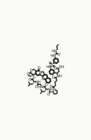 CCCNC(=O)Nc1cccc(S(=O)(=O)Nc2cccc(C(CC(=O)O)NC(=O)CCCC(=O)N3CCC[C@H]3C(=O)N[C@@H](CC(C)C)C(=O)NCC(=O)N[C@@H](CC(C)C)C(=O)O[C@]3(CC)C(=O)OCc4c3cc3n(c4=O)Cc4cc5ccccc5nc4-3)c2)c1